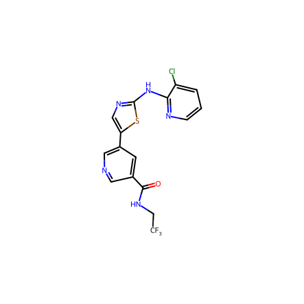 O=C(NCC(F)(F)F)c1cncc(-c2cnc(Nc3ncccc3Cl)s2)c1